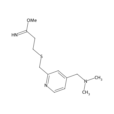 COC(=N)CCSCc1cc(CN(C)C)ccn1